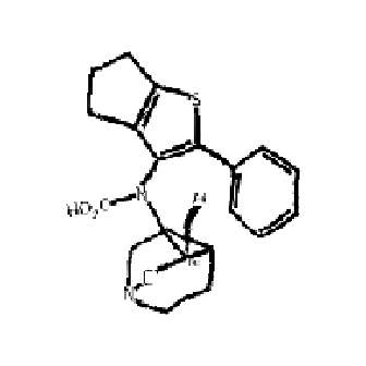 O=C(O)N(c1c(-c2ccccc2)sc2c1CCC2)[C@H]1CN2CCC1CC2